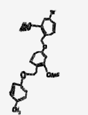 COc1cc(Br)ccc1COc1ccc(COc2ccc(C)cc2)c(OC)c1